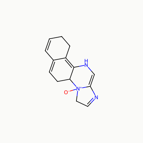 [O-][N+]12CC=NC1=CNC1=C3CCC=CC3=CCC12